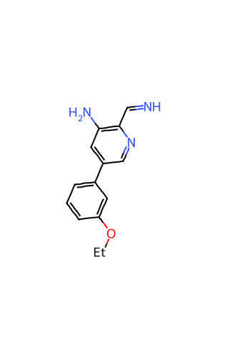 CCOc1cccc(-c2cnc(C=N)c(N)c2)c1